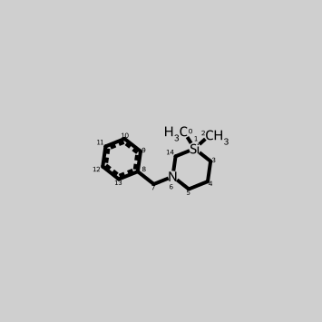 C[Si]1(C)CCCN(Cc2ccccc2)C1